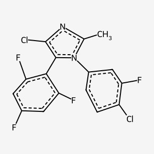 Cc1nc(Cl)c(-c2c(F)cc(F)cc2F)n1-c1ccc(Cl)c(F)c1